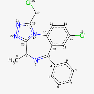 CC1N=C(c2ccccc2)c2cc(Cl)ccc2-n2c(CCl)nnc21